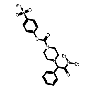 CCN(CC)C(=O)C(c1ccccc1)N1CCN(C(=O)Oc2ccc(S(=O)(=O)C(C)C)cc2)CC1